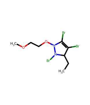 CCC1C(Br)=C(Br)N(OCCOC)N1Br